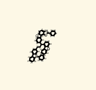 c1ccc(-c2nc3ccc4oc5ccc(C(CCc6ccc7c8ccccc8n(-c8ccccc8)c7c6)c6cccc7oc8ccccc8c67)cc5c4c3o2)cc1